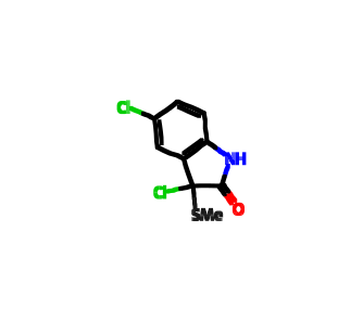 CSC1(Cl)C(=O)Nc2ccc(Cl)cc21